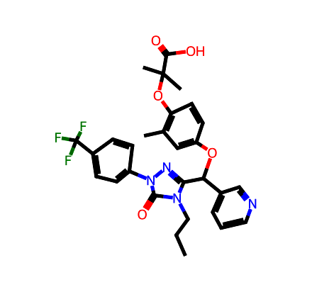 CCCn1c(C(Oc2ccc(OC(C)(C)C(=O)O)c(C)c2)c2cccnc2)nn(-c2ccc(C(F)(F)F)cc2)c1=O